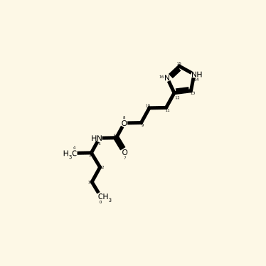 CCCC(C)NC(=O)OCCCc1c[nH]cn1